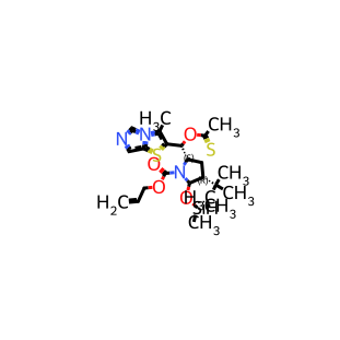 C=CCOC(=O)N1C(O[SiH](C)C)[C@@H](C(C)(C)C)C[C@H]1C(OC(C)=S)c1sc2cncn2c1C